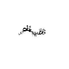 COc1cc(C=Nc2n[nH]c(N=CCc3c[nH]c4ccc(O)cc34)n2)cc(OC)c1OC